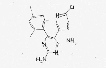 Cc1cc(C)c(-c2nc(N)ncc2-c2ccc(Cl)nc2)c(C)c1.N